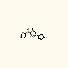 CN(CC(=O)c1ccc(F)cc1)C(=O)Nc1ccccc1